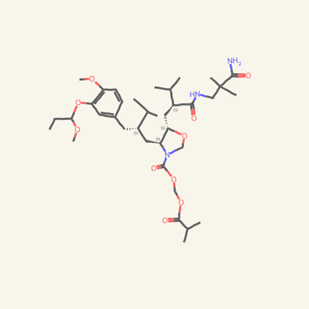 CCC(OC)Oc1cc(C[C@@H](C[C@H]2[C@H](C[C@H](C(=O)NCC(C)(C)C(N)=O)C(C)C)OCN2C(=O)OCOC(=O)C(C)C)C(C)C)ccc1OC